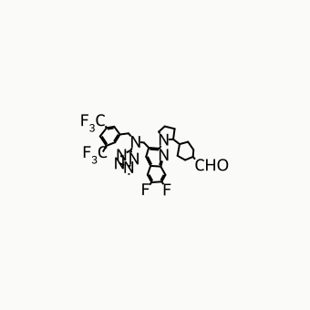 Cn1nnc(N(Cc2cc(C(F)(F)F)cc(C(F)(F)F)c2)Cc2cc3cc(F)c(F)cc3nc2N2CCCC2C2CCC(C=O)CC2)n1